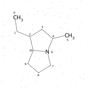 CCC1CC(C)N2CCCC12